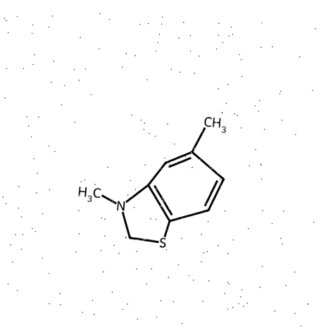 Cc1ccc2c(c1)N(C)[CH]S2